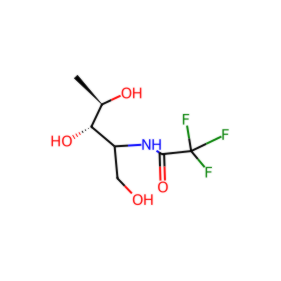 C[C@@H](O)[C@@H](O)C(CO)NC(=O)C(F)(F)F